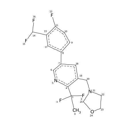 CC(F)(F)c1ncc(-c2ccc(F)c(C(F)F)c2)cc1CN1CCOC1